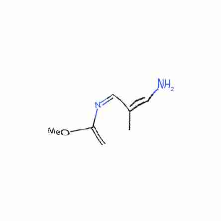 C=C(/N=C\C(C)=C/N)OC